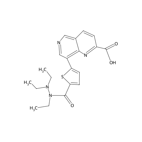 CCN(CC)N(CC)C(=O)c1ccc(-c2cncc3ccc(C(=O)O)nc23)s1